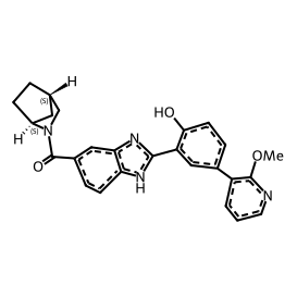 COc1ncccc1-c1ccc(O)c(-c2nc3cc(C(=O)N4C[C@H]5CC[C@H]4C5)ccc3[nH]2)c1